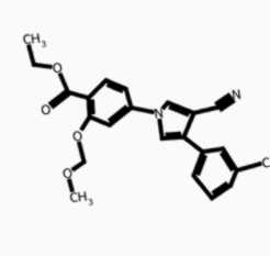 CCOC(=O)c1ccc(-n2cc(C#N)c(-c3cccc(Cl)c3)c2)cc1OCOC